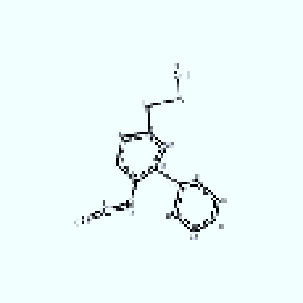 O=C=Nc1ccc(CCS)cc1-c1ccccc1